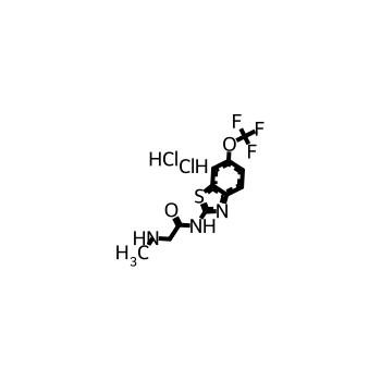 CNCC(=O)Nc1nc2ccc(OC(F)(F)F)cc2s1.Cl.Cl